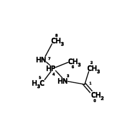 C=C(C)N[PH](C)(C)NC